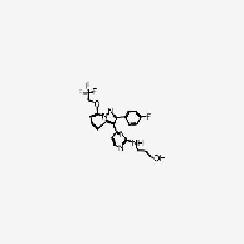 OCCCNc1nccc(-c2c(-c3ccc(F)cc3)nn3c(OCC(F)(F)F)cccc23)n1